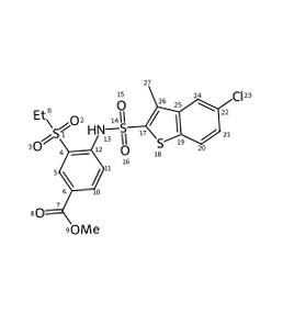 CCS(=O)(=O)c1cc(C(=O)OC)ccc1NS(=O)(=O)c1sc2ccc(Cl)cc2c1C